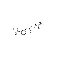 CC(=O)SCCC(=O)Nc1cccc(C(=O)O)c1